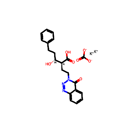 O=C(O)[C@@H](CCn1nnc2ccccc2c1=O)[C@H](O)CCc1ccccc1.O=C([O-])[O-].[K+].[K+]